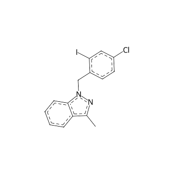 Cc1nn(Cc2ccc(Cl)cc2I)c2ccccc12